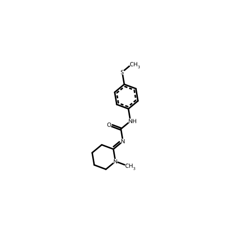 CSc1ccc(NC(=O)N=C2CCCCN2C)cc1